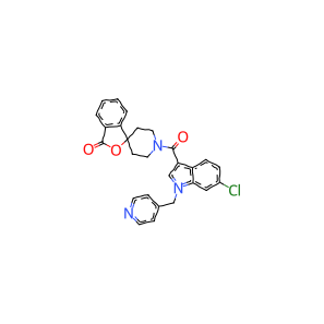 O=C1OC2(CCN(C(=O)c3cn(Cc4ccncc4)c4cc(Cl)ccc34)CC2)c2ccccc21